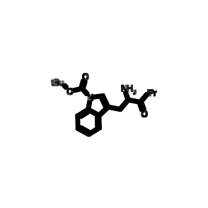 CC(C)C(=O)C(N)Cc1cn(C(=O)OC(C)(C)C)c2ccccc12